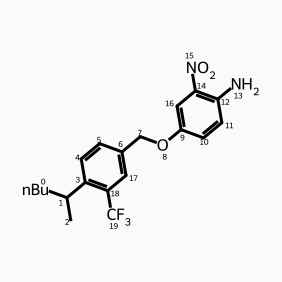 CCCCC(C)c1ccc(COc2ccc(N)c([N+](=O)[O-])c2)cc1C(F)(F)F